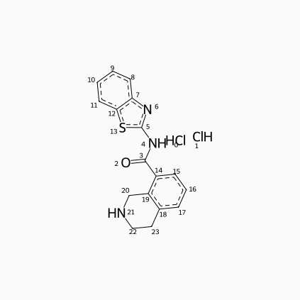 Cl.Cl.O=C(Nc1nc2ccccc2s1)c1cccc2c1CNCC2